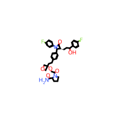 NC(=O)C1CCCN1C(=O)COC1(CCc2ccc(C3[C@@H](CCC(O)c4ccc(F)cc4)C(=O)N3c3ccc(F)cc3)cc2)COC1